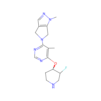 Cc1c(O[C@@H]2CCNCC2F)ncnc1N1Cc2cnn(C)c2C1